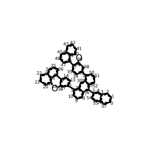 c1ccc2cc(-c3c4cccc(-c5ccc6c(c5)Oc5cccc7cccc-6c57)c4cc4c(-c5ccc6c(c5)Oc5cccc7cccc-6c57)cccc34)ccc2c1